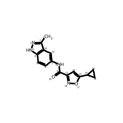 Cc1n[nH]c2ccc(NC(=O)c3cc(C4CC4)on3)cc12